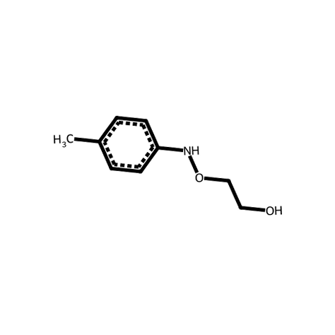 Cc1ccc(NOCCO)cc1